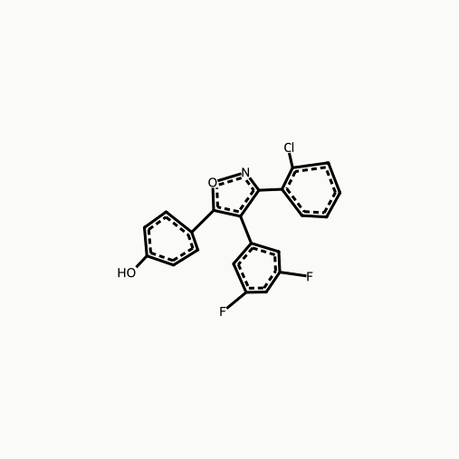 Oc1ccc(-c2onc(-c3ccccc3Cl)c2-c2cc(F)cc(F)c2)cc1